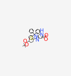 COC(=O)[C@@H]1Cc2nc(C3CCC(C(=O)OC(C)(C)C)CS3)n(C(c3ccccc3)(c3ccccc3)c3ccccc3)c2CN1